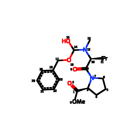 COC(=O)[C@@H]1CCCN1C(=O)[C@H](C(C)C)N(C)C(O)OCc1ccccc1